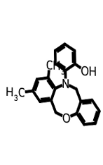 Cc1cc(C)c2c(c1)COc1ccccc1CN2c1ccccc1O